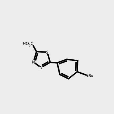 CC(C)(C)c1ccc(-c2nnc(C(=O)O)s2)cc1